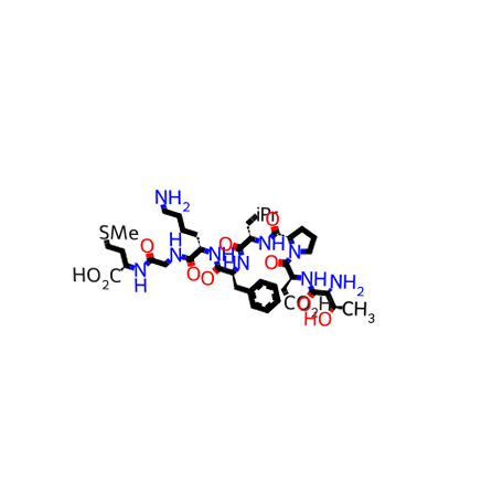 CSCC[C@H](NC(=O)CNC(=O)[C@H](CCCCN)NC(=O)[C@H](Cc1ccccc1)NC(=O)[C@H](CC(C)C)NC(=O)[C@@H]1CCCN1C(=O)[C@H](CC(=O)O)NC(=O)[C@@H](N)[C@@H](C)O)C(=O)O